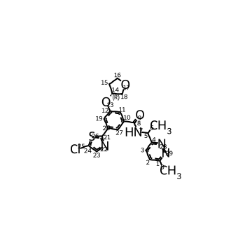 Cc1ccc(C(C)NC(=O)c2cc(O[C@@H]3CCOC3)cc(-c3ncc(Cl)s3)c2)nn1